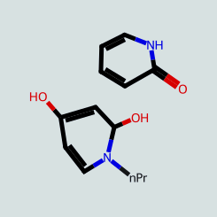 CCCN1C=CC(O)=CC1O.O=c1cccc[nH]1